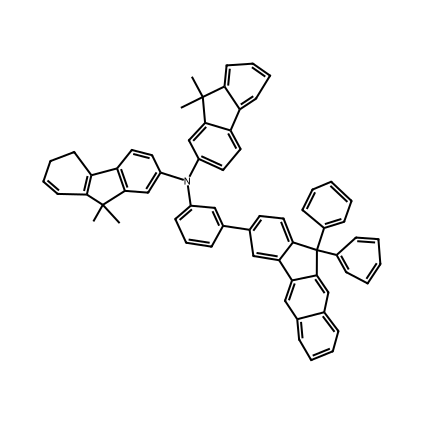 CC1(C)C2=C(CCC=C2)c2ccc(N(c3cccc(-c4ccc5c(c4)-c4cc6ccccc6cc4C5(c4ccccc4)c4ccccc4)c3)c3ccc4c(c3)C(C)(C)c3ccccc3-4)cc21